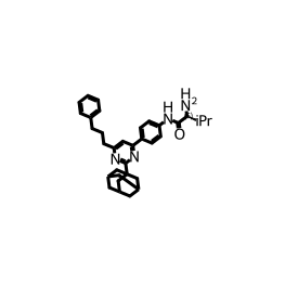 CC(C)[C@H](N)C(=O)Nc1ccc(-c2cc(CCCc3ccccc3)nc(C34CC5CC(CC(C5)C3)C4)n2)cc1